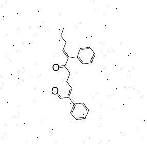 CCCC=C(C(=O)CCC=C(C=O)c1ccccc1)c1ccccc1